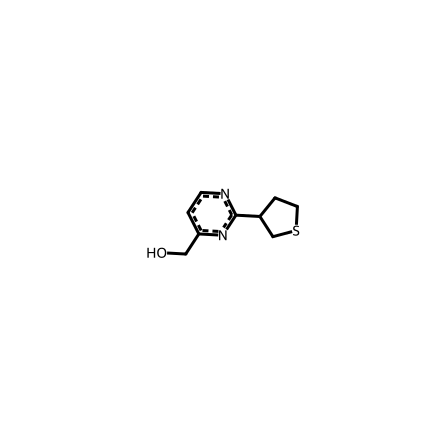 OCc1ccnc(C2CCSC2)n1